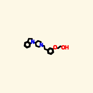 OCCOc1cccc(CCN2CCC(N3CCc4ccccc43)CC2)c1